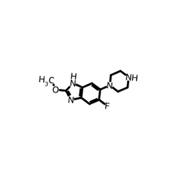 COc1nc2cc(F)c(N3CCNCC3)cc2[nH]1